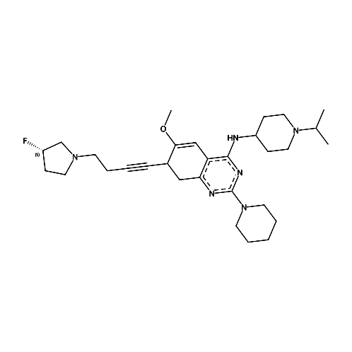 COC1=Cc2c(nc(N3CCCCC3)nc2NC2CCN(C(C)C)CC2)CC1C#CCCN1CC[C@H](F)C1